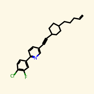 C=CCCCC1CCC(C#Cc2ccc(-c3ccc(Cl)c(F)c3)nc2)CC1